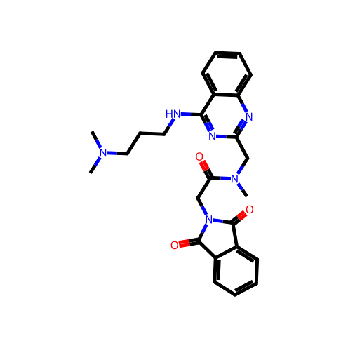 CN(C)CCCNc1nc(CN(C)C(=O)CN2C(=O)c3ccccc3C2=O)nc2ccccc12